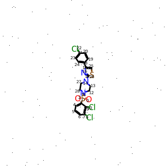 O=S(=O)(c1cccc(Cl)c1Cl)N1CCN(c2nc(-c3ccc(Cl)cc3)cs2)CC1